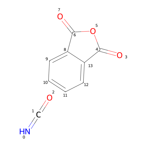 N=C=O.O=C1OC(=O)c2ccccc21